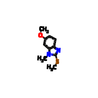 COc1ccc2nc(SC)n(C)c2c1